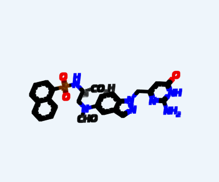 Nc1nc(Cn2ncc3cc(N(C=O)C[C@H](NS(=O)(=O)c4cccc5ccccc45)C(=O)O)ccc32)cc(=O)[nH]1